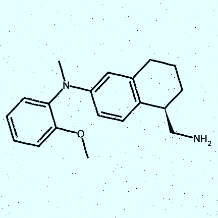 COc1ccccc1N(C)c1ccc2c(c1)CCC[C@H]2CN